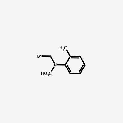 Cc1ccccc1N(CBr)C(=O)O